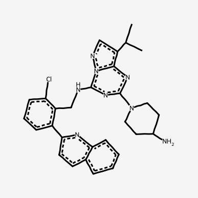 CC(C)c1cnn2c(NCc3c(Cl)cccc3-c3ccc4ccccc4n3)nc(N3CCC(N)CC3)nc12